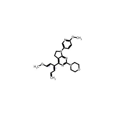 C=C/C=C(\C=C\OC)c1nc(N2CCOCC2)nc2c1CCN2c1ccc(OC)nc1